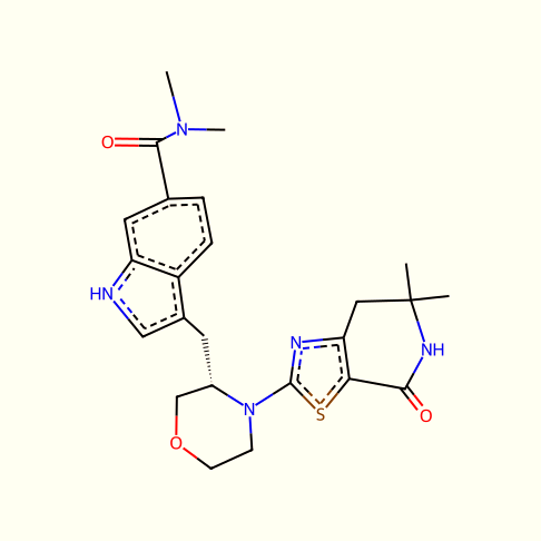 CN(C)C(=O)c1ccc2c(C[C@H]3COCCN3c3nc4c(s3)C(=O)NC(C)(C)C4)c[nH]c2c1